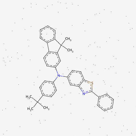 CC(C)(C)c1ccc(N(c2ccc3c(c2)C(C)(C)c2ccccc2-3)c2ccc3sc(-c4ccccc4)nc3c2)cc1